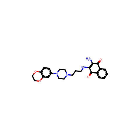 NC1=C(NCCCN2CCN(c3ccc4c(c3)OCCO4)CC2)C(=O)c2ccccc2C1=O